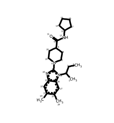 CCC(C)n1c(N2CCC(C(=O)NC3CCCC3)CC2)nc2cc(C)c(C)cc21